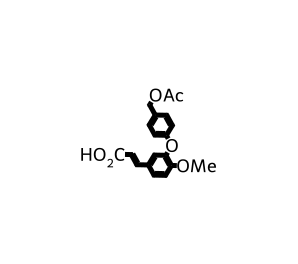 COc1ccc(/C=C/C(=O)O)cc1Oc1ccc(COC(C)=O)cc1